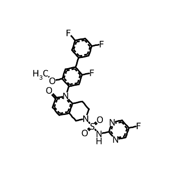 COc1cc(-c2cc(F)cc(F)c2)c(F)cc1-n1c2c(ccc1=O)CN(S(=O)(=O)Nc1ncc(F)cn1)CC2